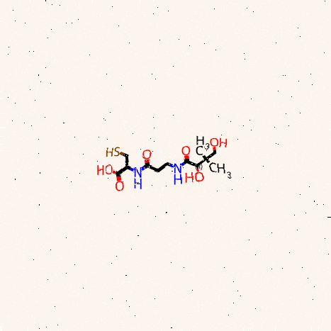 CC(C)(CO)[C@@H](O)C(=O)NCCC(=O)NC(CS)C(=O)O